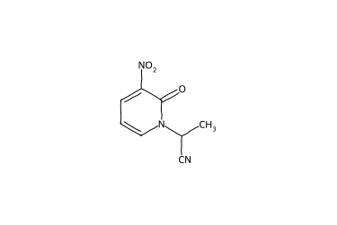 CC(C#N)n1cccc([N+](=O)[O-])c1=O